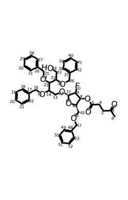 CC(=O)CCC(=O)O[C@@H]1C(F)[C@H](OCC(OCc2ccccc2)C(OCc2ccccc2)C(CO)OCc2ccccc2)O[C@@H]1COCc1ccccc1